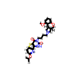 COc1cccc2c1[C@@H]1CN(CCCCn3c(=O)[nH]c4c(sc5ccc(OC(C)C)nc54)c3=O)C[C@H]1CO2